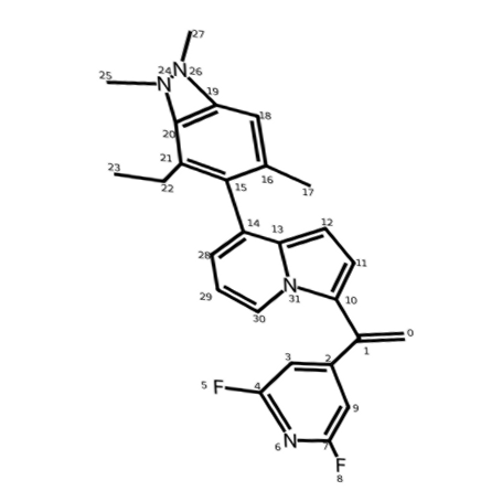 C=C(c1cc(F)nc(F)c1)c1ccc2c(-c3c(C)cc4c(c3CC)n(C)n4C)cccn12